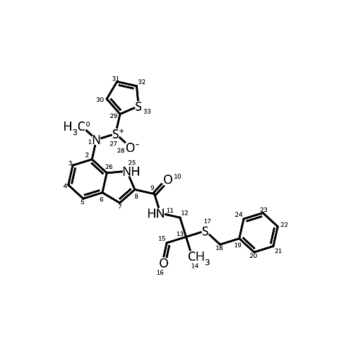 CN(c1cccc2cc(C(=O)NCC(C)(C=O)SCc3ccccc3)[nH]c12)[S+]([O-])c1cccs1